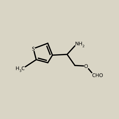 Cc1cc(C(N)COC=O)cs1